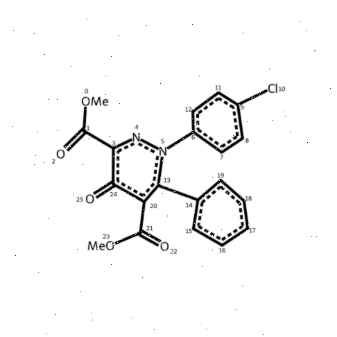 COC(=O)c1nn(-c2ccc(Cl)cc2)c(-c2ccccc2)c(C(=O)OC)c1=O